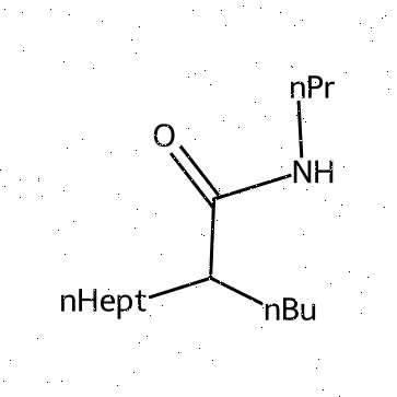 CCCCCCCC(CCCC)C(=O)NCCC